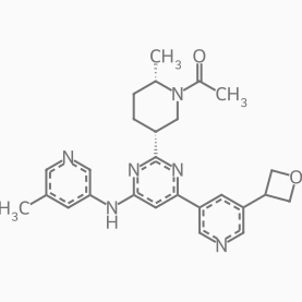 CC(=O)N1C[C@H](c2nc(Nc3cncc(C)c3)cc(-c3cncc(C4COC4)c3)n2)CC[C@@H]1C